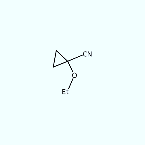 CCOC1(C#N)CC1